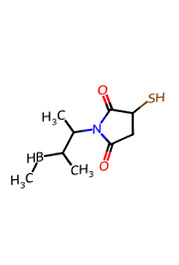 CBC(C)C(C)N1C(=O)CC(S)C1=O